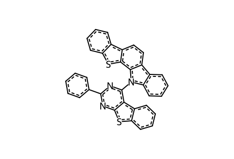 c1ccc(-c2nc(-n3c4ccccc4c4ccc5c6ccccc6sc5c43)c3c(n2)sc2ccccc23)cc1